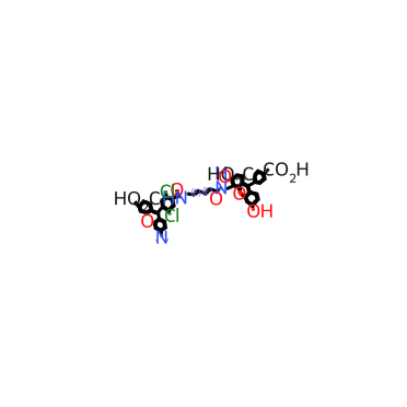 C=c1ccc2c(c1)Oc1cc(N(C)C)ccc1C=2c1c(Cl)cc(C(=O)NC/C=C/C=C/C(=O)NCc2c3oc4cc(O)ccc4c(-c4ccc(C(=O)O)cc4C(=O)O)c-3ccc2=O)c(Cl)c1C(=O)O